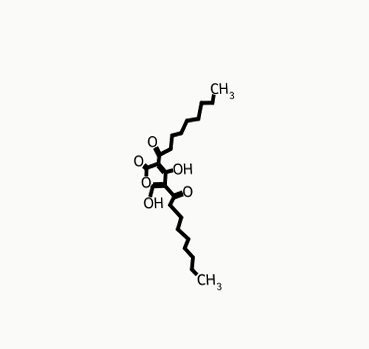 CCCCCCCCC(=O)c1c(O)oc(=O)c(C(=O)CCCCCCCC)c1O